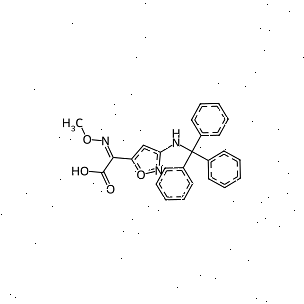 CON=C(C(=O)O)c1cc(NC(c2ccccc2)(c2ccccc2)c2ccccc2)no1